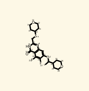 CC(Oc1cc2nc(CSC3CCOCC3)[nH]c(=O)c2c(F)c1F)C1CCOCC1